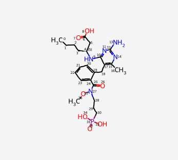 CCCC[C@@H](CC(=O)O)Nc1nc(N)nc(C)c1Cc1ccccc1C(=O)N(CCCP(=O)(O)O)OC